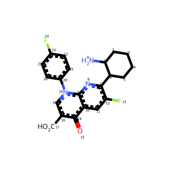 NC1CCCCC1c1nc2c(cc1F)c(=O)c(C(=O)O)cn2-c1ccc(F)cc1